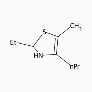 CCCC1=C(C)SC(CC)N1